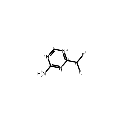 Nc1ncnc(C(F)F)n1